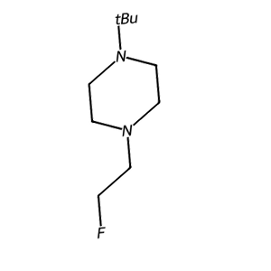 CC(C)(C)N1CCN(CCF)CC1